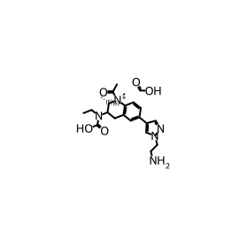 CCN(C(=O)O)C1Cc2cc(-c3cnn(CCN)c3)ccc2[N@@+](C)(C(C)=O)[C@H]1C.O=CO